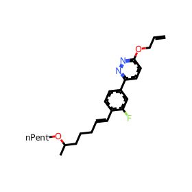 C=CCOc1ccc(-c2ccc(C=CCCCC(C)OCCCCC)c(F)c2)nn1